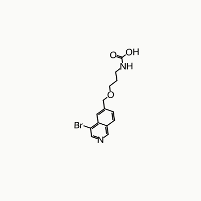 O=C(O)NCCCOCc1ccc2cncc(Br)c2c1